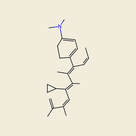 C=C(C)\C(C)=C/C(=C(C)/C(C)=C(\C=C/C)C1=CC=C(N(C)C)CC1)C1CC1